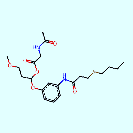 CCCCSCCC(=O)Nc1cccc(OC(CCOC)OC(=O)CNC(C)=O)c1